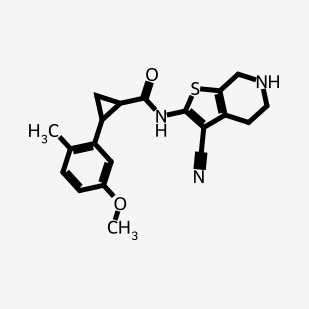 COc1ccc(C)c(C2CC2C(=O)Nc2sc3c(c2C#N)CCNC3)c1